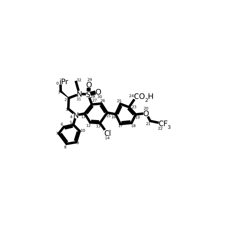 CC(C)C[C@@H]1CN(c2ccccc2)c2cc(Cl)c(-c3ccc(OCC(F)(F)F)c(C(=O)O)c3)cc2S(=O)(=O)N1C